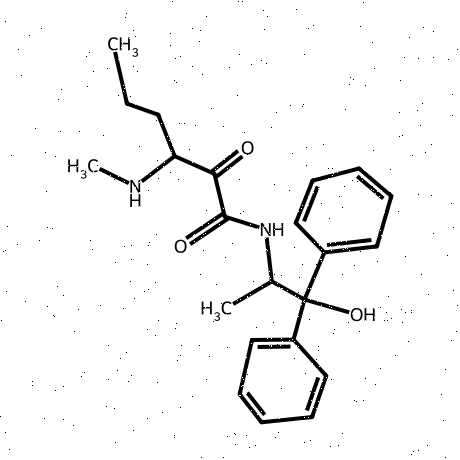 CCCC(NC)C(=O)C(=O)NC(C)C(O)(c1ccccc1)c1ccccc1